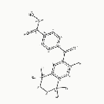 Cc1cc2c(cc1C(=O)c1ccc(C(=O)NO)cc1)C(C)(C)CCC2(C)C